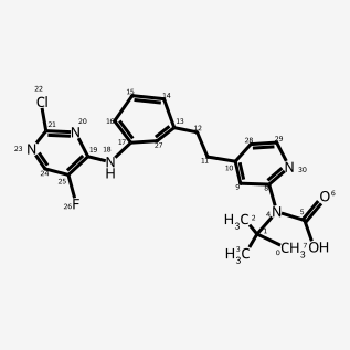 CC(C)(C)N(C(=O)O)c1cc(CCc2cccc(Nc3nc(Cl)ncc3F)c2)ccn1